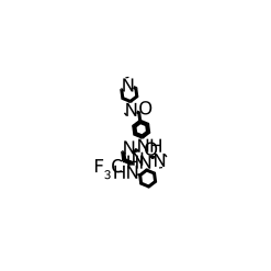 CN1CCC(N(C)C(=O)c2ccc(Nc3ncc(C(F)(F)F)c(N[C@@H]4CCCC[C@@H]4NC(=O)N(C)C)n3)cc2)CC1